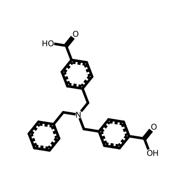 O=C(O)c1ccc(CN(Cc2ccccc2)Cc2ccc(C(=O)O)cc2)cc1